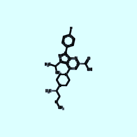 COCC(C)N1CCN(c2cc(C(=O)O)nc3c2c(C(C)C)nn3-c2ccc(F)cc2)CC1